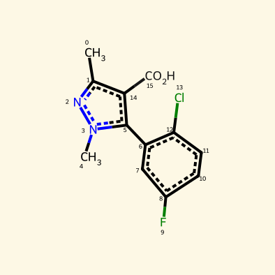 Cc1nn(C)c(-c2cc(F)ccc2Cl)c1C(=O)O